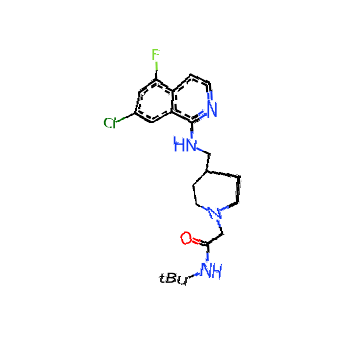 CC(C)(C)NC(=O)CN1CCC(CNc2nccc3c(F)cc(Cl)cc23)CC1